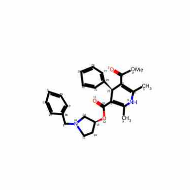 COC(=O)C1=C(C)NC(C)=C(C(=O)O[C@H]2CCN(Cc3ccccc3)C2)[C@H]1c1ccccc1